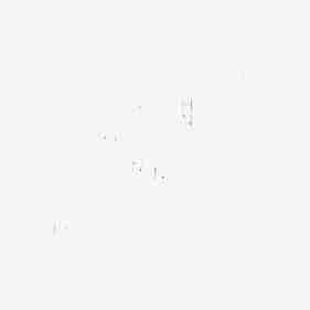 Cc1ccc(-n2ncc(NC[C@H]3CCCOC3)c(Cl)c2=O)cc1